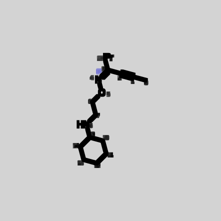 CC#C/C(=N\OCCNC1CCCCC1)C(C)C